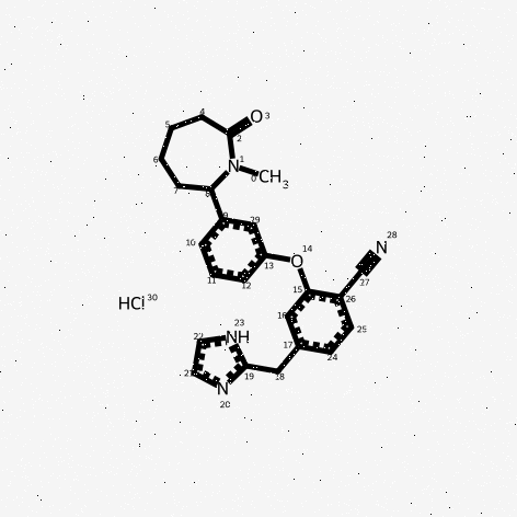 CN1C(=O)CCCCC1c1cccc(Oc2cc(Cc3ncc[nH]3)ccc2C#N)c1.Cl